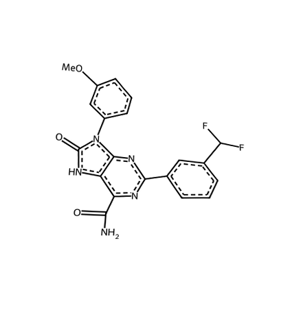 COc1cccc(-n2c(=O)[nH]c3c(C(N)=O)nc(-c4cccc(C(F)F)c4)nc32)c1